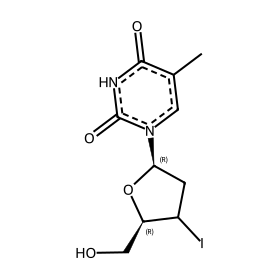 Cc1cn([C@H]2CC(I)[C@@H](CO)O2)c(=O)[nH]c1=O